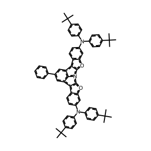 CC(C)(C)c1ccc(N(c2ccc(C(C)(C)C)cc2)c2ccc3c(c2)oc2c3c3cc(-c4ccccc4)cc4c5c6ccc(N(c7ccc(C(C)(C)C)cc7)c7ccc(C(C)(C)C)cc7)cc6oc5n2c34)cc1